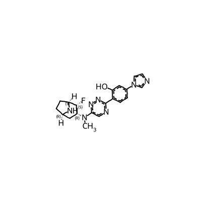 CN(c1cnc(-c2ccc(-n3ccnc3)cc2O)nn1)[C@@H]1C[C@H]2CC[C@H](N2)[C@@H]1F